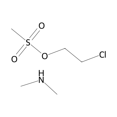 CNC.CS(=O)(=O)OCCCl